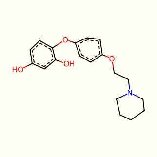 Oc1c[c]c(Oc2ccc(OCCN3CCCCC3)cc2)c(O)c1